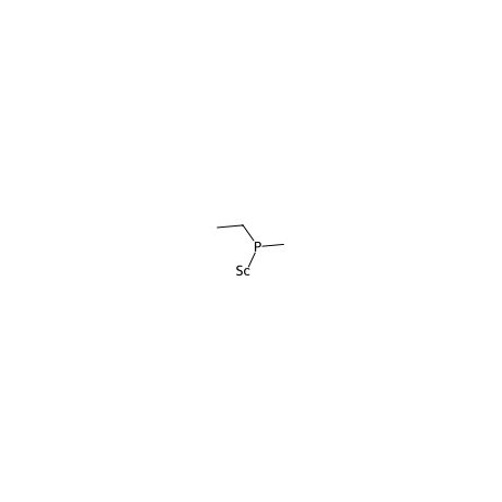 CC[P](C)[Sc]